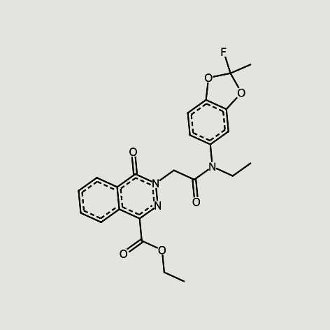 CCOC(=O)c1nn(CC(=O)N(CC)c2ccc3c(c2)OC(C)(F)O3)c(=O)c2ccccc12